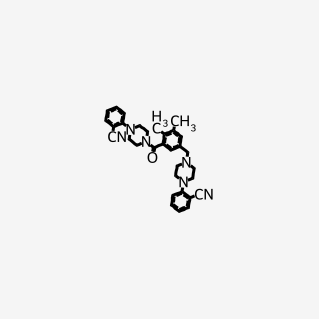 Cc1cc(CN2CCN(c3ccccc3C#N)CC2)cc(C(=O)N2CCN(c3ccccc3C#N)CC2)c1C